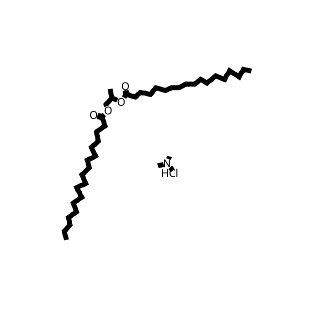 CCCCCCCCCCCCCCCCCC(=O)OCC(C)OC(=O)CCCCCCCCCCCCCCCCC.CN(C)C.Cl